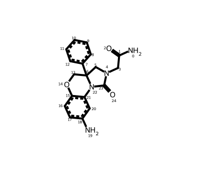 NC(=O)CN1CC2(c3ccccc3)COc3ccc(N)cc3N2C1=O